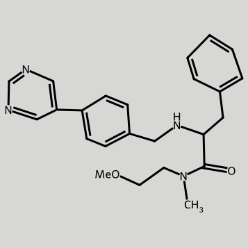 COCCN(C)C(=O)C(Cc1ccccc1)NCc1ccc(-c2cncnc2)cc1